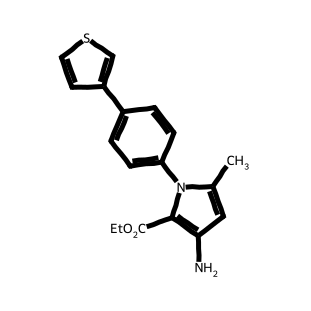 CCOC(=O)c1c(N)cc(C)n1-c1ccc(-c2ccsc2)cc1